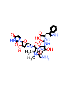 C[C@@H](O)[C@H](NC(=O)N[C@@H](Cc1c[nH]c2ccccc12)C(=O)O)C(=O)N[C@H](C(=O)NC[C@H]1C[C@@H](O)[C@H](n2ccc(=O)[nH]c2=O)O1)[C@H](C)N(C)C(=O)CN